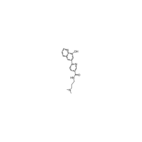 CN(C)CCCNC(=O)c1ccc(-c2cc(O)c3ncccc3c2)nc1